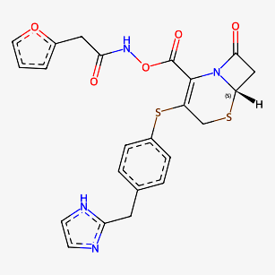 O=C(Cc1ccco1)NOC(=O)C1=C(Sc2ccc(Cc3ncc[nH]3)cc2)CS[C@H]2CC(=O)N12